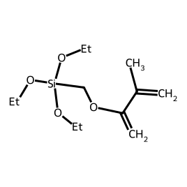 C=C(C)C(=C)OC[Si](OCC)(OCC)OCC